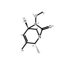 CON1C(=O)N2C[C@@H]1C=C(C)[C@H]2C